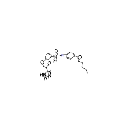 CCCCCOc1ccc(/C=C/C(=O)Nc2cccc3c2OC(c2nnn[nH]2)CO3)cc1